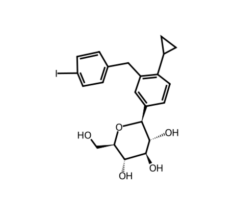 OC[C@H]1O[C@@H](c2ccc(C3CC3)c(Cc3ccc(I)cc3)c2)[C@H](O)[C@@H](O)[C@@H]1O